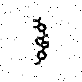 COc1ccc(-c2cnc3c(Nc4ccc(C(C)=O)c(C)c4)nccn23)cc1